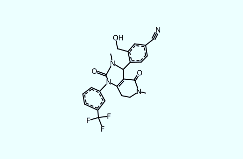 CN1CCC2=C(C1=O)C(c1ccc(C#N)cc1CO)N(C)C(=O)N2c1cccc(C(F)(F)F)c1